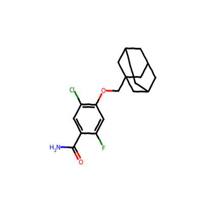 NC(=O)c1cc(Cl)c(OCC23CC4CC(CC(C4)C2)C3)cc1F